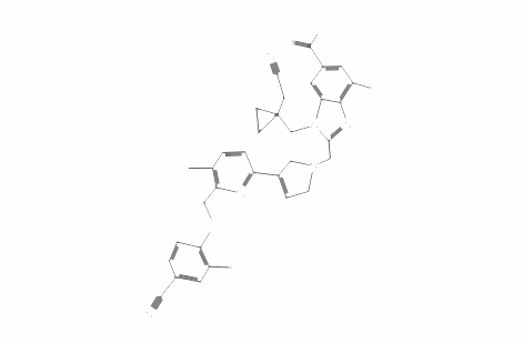 N#CCC1(Cn2c(CN3CC=C(c4ccc(F)c(COc5ccc(C#N)cc5F)n4)C3)nc3c(F)cc(C(=O)O)cc32)CC1